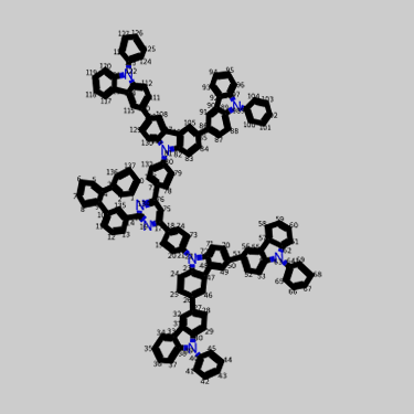 c1ccc(-c2ccccc2-c2cccc(-c3nc(-c4ccc(-n5c6ccc(-c7ccc8c(c7)c7ccccc7n8-c7ccccc7)cc6c6cc(-c7ccc8c(c7)c7ccccc7n8-c7ccccc7)ccc65)cc4)cc(-c4ccc(-n5c6ccc(-c7ccc8c(c7)c7ccccc7n8-c7ccccc7)cc6c6cc(-c7ccc8c(c7)c7ccccc7n8-c7ccccc7)ccc65)cc4)n3)c2)cc1